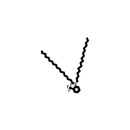 CCCCCCCCCCCCCCCCCCN(CCCCCCCCCCCCCCCCCC)c1ccccc1C(F)(F)F